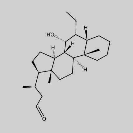 CC[C@H]1[C@@H](O)[C@@H]2[C@H](CC[C@]3(C)[C@@H]([C@H](C)CC=O)CC[C@@H]23)[C@@]2(C)CCCC[C@@H]12